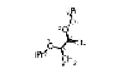 CC(C)OOC(=O)C(C)OC(C)C